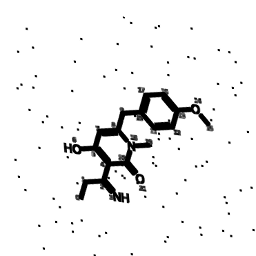 CCC(=N)c1c(O)cc(Cc2ccc(OC)cc2)n(C)c1=O